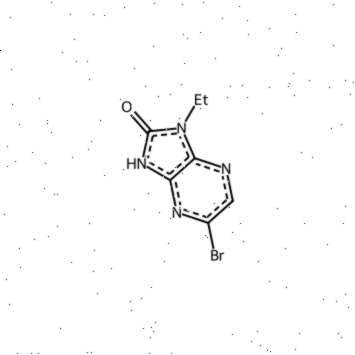 CCn1c(=O)[nH]c2nc(Br)cnc21